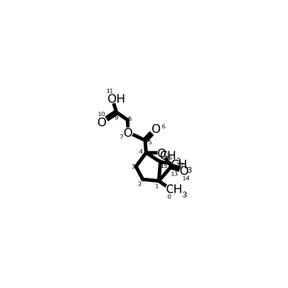 CC12CCC(C(=O)OCC(=O)O)(OC1=O)C2(C)C